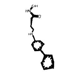 O=C(CCNc1ccc(-c2ccccc2)cc1)NO